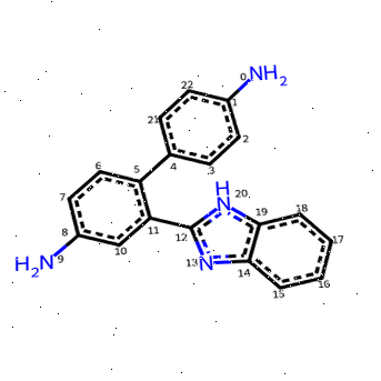 Nc1ccc(-c2ccc(N)cc2-c2nc3ccccc3[nH]2)cc1